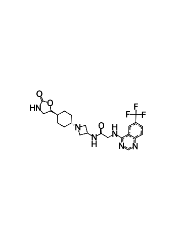 O=C(CNc1ncnc2ccc(C(F)(F)F)cc12)NC1CN([C@H]2CC[C@H](C3CNC(=O)O3)CC2)C1